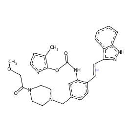 COCC(=O)N1CCN(Cc2ccc(/C=C/c3n[nH]c4ccccc34)c(NC(=O)Oc3sccc3C)c2)CC1